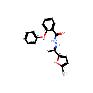 C/C(=N\NC(=O)c1ccccc1Oc1ccccc1)c1ccc([N+](=O)[O-])o1